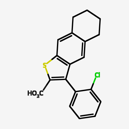 O=C(O)c1sc2cc3c(cc2c1-c1ccccc1Cl)CCCC3